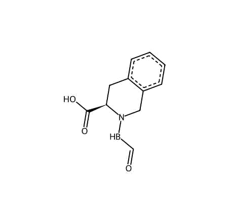 O=CBN1Cc2ccccc2C[C@@H]1C(=O)O